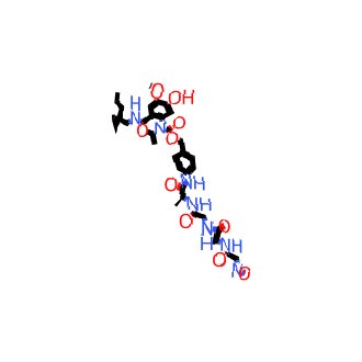 CCCC1(CNC(=O)c2cc(OC)c(O)cc2N(C(=O)OCc2ccc(NC(=O)[C@H](C)NC(=O)CNC(=O)CNC(=O)CN=O)cc2)C(C)C)CC1